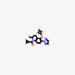 CC1CCc2c(ccc(-n3nccn3)c2OC2CCC2)N1C(=O)C1CC1